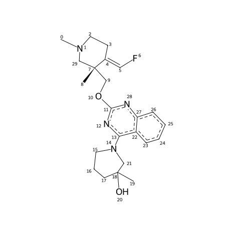 CN1CC/C(=C\F)[C@](C)(COc2nc(N3CCCC(C)(O)C3)c3ccccc3n2)C1